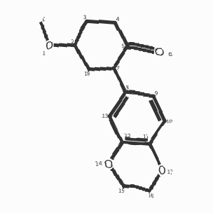 COC1CCC(=O)C(c2ccc3c(c2)OCCO3)C1